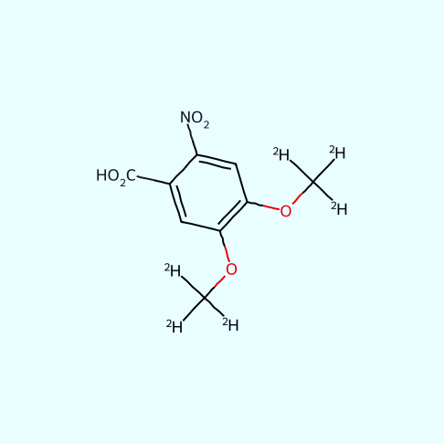 [2H]C([2H])([2H])Oc1cc(C(=O)O)c([N+](=O)[O-])cc1OC([2H])([2H])[2H]